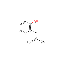 C=C(C)Cc1ccc[c]c1O